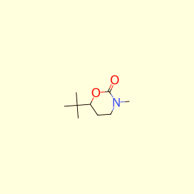 CN1CCC(C(C)(C)C)OC1=O